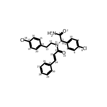 NC(=O)[C@H](c1ccc(Cl)cc1)N(CCc1ccc(Cl)cc1)C(=O)C=Cc1ccccc1